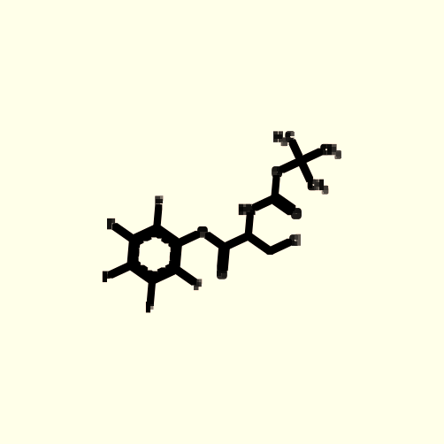 CC(C)(C)OC(=O)NC(CCl)C(=O)Oc1c(F)c(F)c(F)c(F)c1F